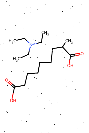 CC(CCCCCCC(=O)O)C(=O)O.CCN(CC)CC